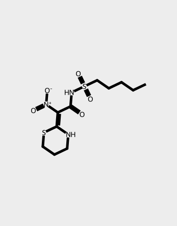 CCCCCS(=O)(=O)NC(=O)/C(=C1\NCCCS1)[N+](=O)[O-]